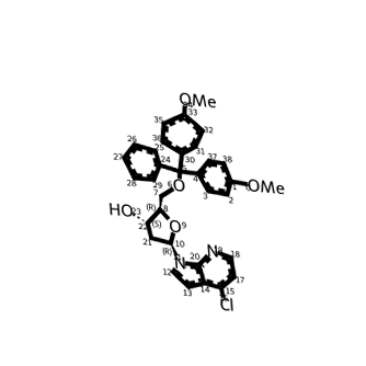 COc1ccc(C(OC[C@H]2O[C@@H](n3ccc4c(Cl)ccnc43)C[C@@H]2O)(c2ccccc2)c2ccc(OC)cc2)cc1